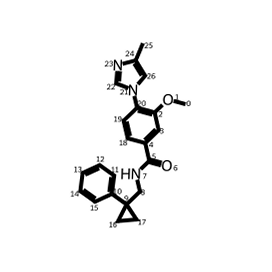 COc1cc(C(=O)NCC2(c3ccccc3)CC2)ccc1-n1cnc(C)c1